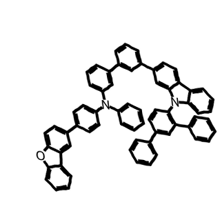 c1ccc(-c2ccc(-n3c4ccccc4c4ccc(-c5cccc(-c6cccc(N(c7ccccc7)c7ccc(-c8ccc9oc%10ccccc%10c9c8)cc7)c6)c5)cc43)c(-c3ccccc3)c2)cc1